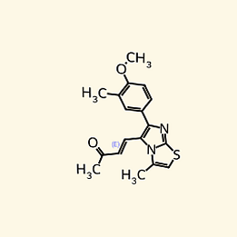 COc1ccc(-c2nc3scc(C)n3c2/C=C/C(C)=O)cc1C